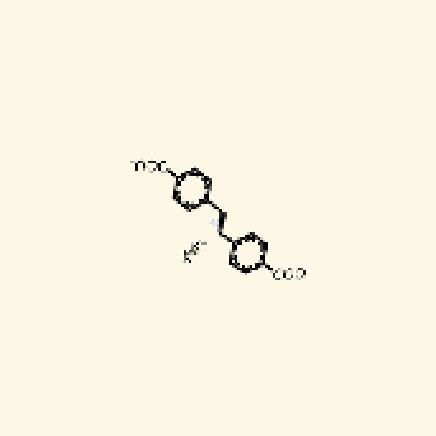 O=C([O-])c1ccc(/C=C/c2ccc(C(=O)[O-])cc2)cc1.[K+].[K+]